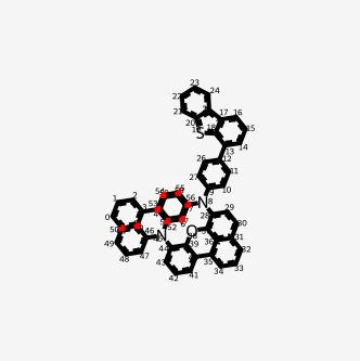 c1ccc(-c2ccc(N(c3ccc(-c4cccc5c4sc4ccccc45)cc3)c3ccc4cccc5c4c3Oc3c-5cccc3N(c3ccccc3)c3ccccc3)cc2)cc1